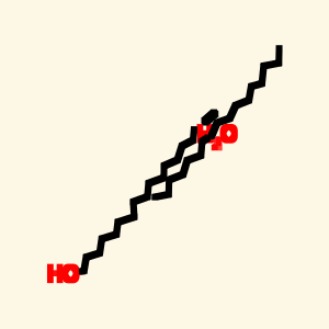 C=C.CCCCCCCCCCCCCCCCC.CCCCCCCCCCCCCCCCO.O